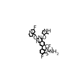 CC1NCCC1Oc1nc(OCC23CCCN2CC(F)C3)nc2cc(-c3ccc(F)c4sc(N)nc34)c(C(F)(F)F)cc12